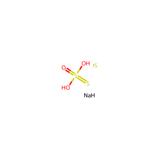 O=S(O)(O)=S.[NaH].[S]